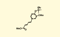 COC(=O)C=CC=Cc1ccc(O[Si](C)(C)C(C)(C)C)c(OC)c1